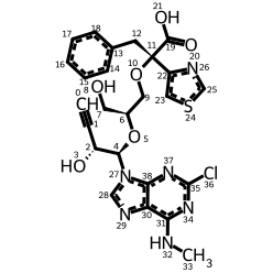 C#C[C@@H](O)[C@@H](O[C@@H](CO)CO[C@](Cc1ccccc1)(C(=O)O)c1cscn1)n1cnc2c(NC)nc(Cl)nc21